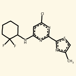 Cc1csc(-c2nc(Cl)cc(NC3CCCCC3(F)F)n2)n1